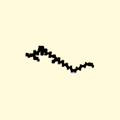 CCCCCC/C=C\CCCCCCCC(=O)OCCCOP(=O)(O)OCCN(C)C